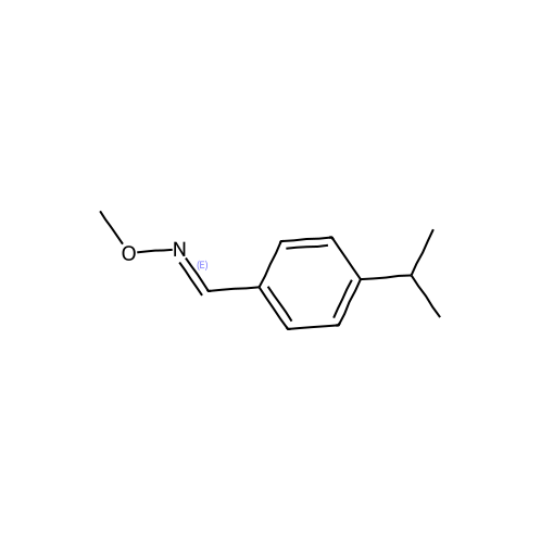 CO/N=C/c1ccc(C(C)C)cc1